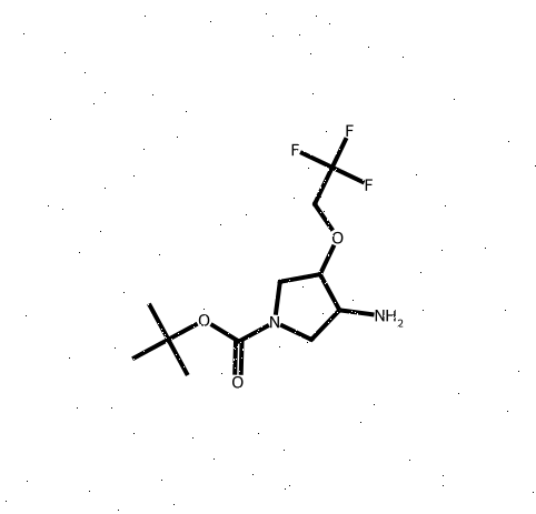 CC(C)(C)OC(=O)N1CC(N)C(OCC(F)(F)F)C1